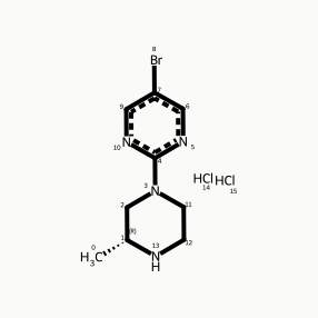 C[C@@H]1CN(c2ncc(Br)cn2)CCN1.Cl.Cl